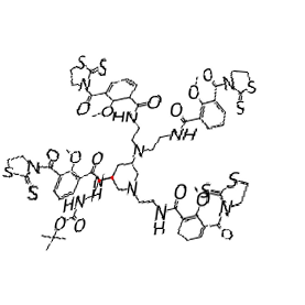 COC1=C(C(=O)NCCN(CCNC(=O)c2cccc(C(=O)N3CCSC3=S)c2OC)CC(CCCCNC(=O)OC(C)(C)C)N(CCNC(=O)c2cccc(C(=O)N3CCSC3=S)c2OC)CCNC(=O)C2C=CC=C(C(=O)N3CCSC3=S)C2OC)CCC=C1C(=O)N1CCSC1=S